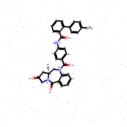 Cc1ccc(-c2ccccc2C(=O)Nc2ccc(C(=O)N3C[C@@H]4CC(=O)CN4C(=O)c4ccccc43)cc2)cc1